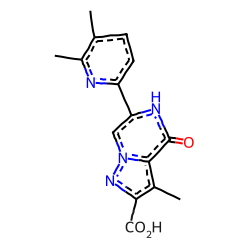 Cc1ccc(-c2cn3nc(C(=O)O)c(C)c3c(=O)[nH]2)nc1C